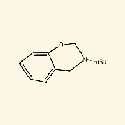 CCCCN1COc2ccccc2C1